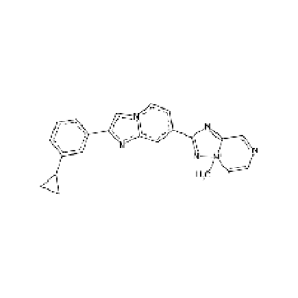 C[N+]12C=CN=CC1=NC(c1ccn3cc(-c4cccc(C5CC5)c4)nc3c1)=N2